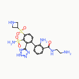 NCCNC(=O)c1cccc(-c2ccc(S(=O)(=O)C3CNC3)c(S(N)(=O)=O)c2-c2nn[nH]n2)c1N